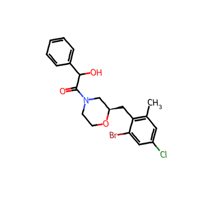 Cc1cc(Cl)cc(Br)c1C[C@@H]1CN(C(=O)C(O)c2ccccc2)CCO1